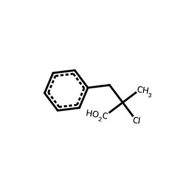 CC(Cl)(Cc1ccccc1)C(=O)O